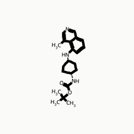 Cc1cncc2cccc(N[C@H]3CC[C@@H](NC(=O)OC(C)(C)C)CC3)c12